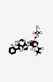 CS(=O)(=O)OC[C@@]12CN(C(=O)C(F)(F)F)[C@H]([C@H](n3cnc4c3N=CNC4(N)C(=O)c3ccccc3)O1)[C@H]2O